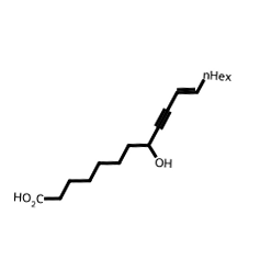 CCCCCCC=CC#CC(O)CCCCCCC(=O)O